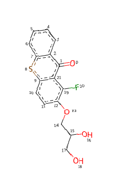 O=c1c2ccccc2sc2ccc(OCC(O)CO)c(F)c12